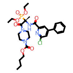 CCCCOC(=O)N1CCN(C(=O)[C@@](C)(NC(=O)c2cc(-c3ccccc3)cc(Cl)n2)P(=O)(OCC)OCC)CC1